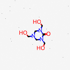 O=C1N(CO)CN(CO)CN1CO